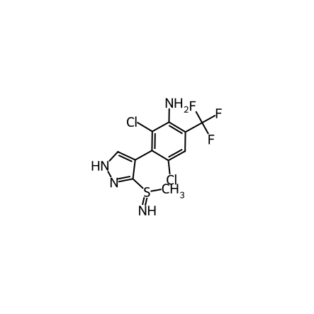 CS(=N)c1n[nH]cc1-c1c(Cl)cc(C(F)(F)F)c(N)c1Cl